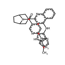 Cc1cnn(-c2ccc(C(=O)N3C4CCC3CN(c3nc(Nc5cc(C)[nH]n5)c5ccccc5n3)C4)cn2)c1